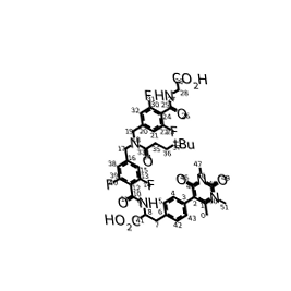 Cc1c(-c2ccc(CC(NC(=O)c3c(F)cc(CN(Cc4cc(F)c(C(=O)NCC(=O)O)c(F)c4)C(=O)CCC(C)(C)C)cc3F)C(=O)O)cc2)c(=O)n(C)c(=O)n1C